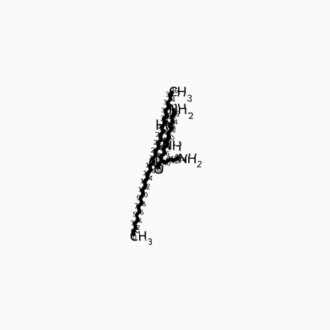 CCCCCCCCCCCCCCCCCCN(CCCCCCCCCCCCCCCCCC)C(=O)C(CCCCN)CCCNCCCCNCCCN